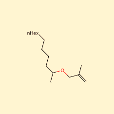 [CH2]C(CCCCCCCCCC)OCC(=C)C